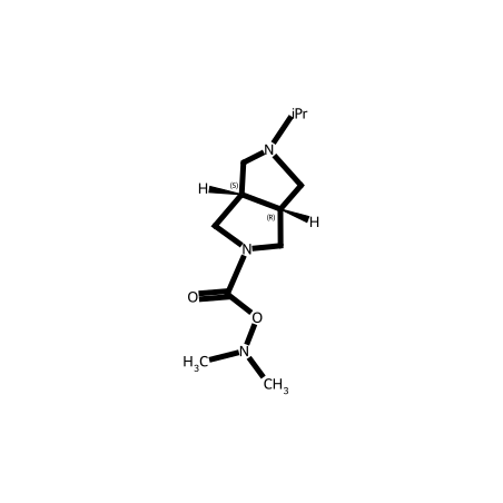 CC(C)N1C[C@H]2CN(C(=O)ON(C)C)C[C@H]2C1